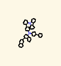 c1ccc(-c2ccc(N(c3ccc(-c4ccccc4-n4c5ccccc5c5ccccc54)cc3)c3ccc(-c4ccc5ccccc5c4)c4ccccc34)cc2)cc1